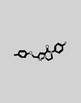 Cc1ccc(OCc2cc3n(n2)CCN(c2ccc(F)cc2)C3=O)cc1